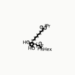 CCCCCCC(F)(F)C(=O)CC[C@@H]1[C@@H](CCCCCCCCC(=O)OC(C)C)[C@H](O)C[C@H]1O